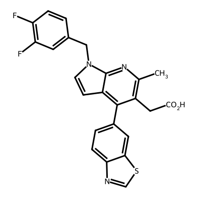 Cc1nc2c(ccn2Cc2ccc(F)c(F)c2)c(-c2ccc3ncsc3c2)c1CC(=O)O